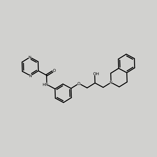 O=C(Nc1cccc(OCC(O)CN2CCc3ccccc3C2)c1)c1cnccn1